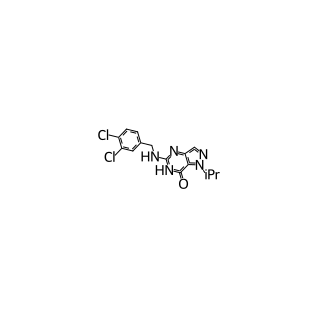 CC(C)n1ncc2nc(NCc3ccc(Cl)c(Cl)c3)[nH]c(=O)c21